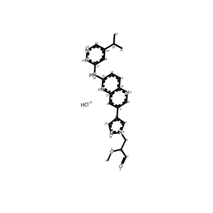 COC(C=O)Cn1cc(-c2cnc3ccc(Nc4cc(C(C)C)cnn4)nc3c2)cn1.Cl